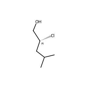 CC(C)C[C@@H](Cl)CO